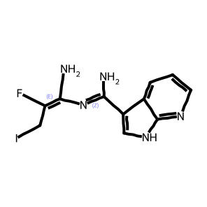 N/C(=N\C(N)=C(\F)CI)c1c[nH]c2ncccc12